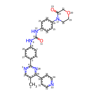 Cc1cnc(-c2ccc(NC(=O)Nc3ccc(N4CCOCC4=O)cc3)cc2)nc1-c1ccncc1